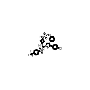 NS(=O)(=O)NC1CC(N/C(=N\S(=O)(=O)c2ccc(C(F)(F)F)cc2)N2C[C@H](c3ccccc3)C(c3ccc(Cl)cc3)=N2)C1